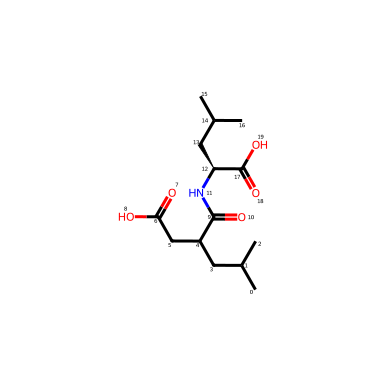 CC(C)CC(CC(=O)O)C(=O)N[C@@H](CC(C)C)C(=O)O